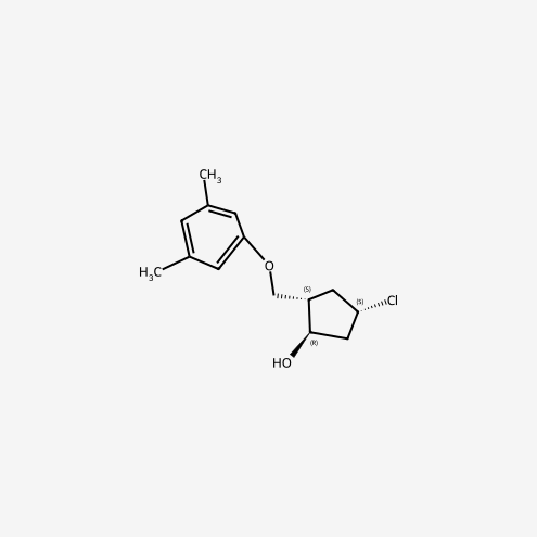 Cc1cc(C)cc(OC[C@@H]2C[C@H](Cl)C[C@H]2O)c1